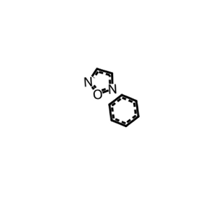 c1ccccc1.c1cnon1